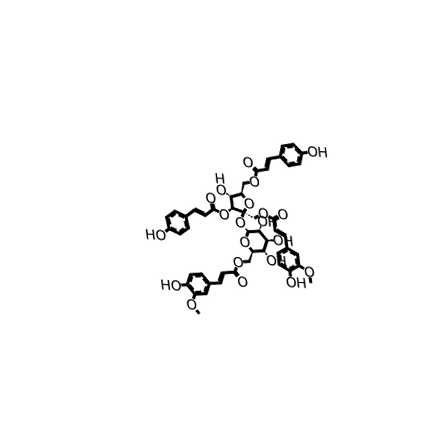 COc1cc(/C=C/C(=O)OC[C@H]2O[C@H](O[C@]3(COC(=O)/C=C/c4ccc(O)c(OC)c4)O[C@H](COC(=O)/C=C/c4ccc(O)cc4)[C@@H](O)[C@@H]3OC(=O)/C=C/c3ccc(O)cc3)[C@H](O)[C@@H](O)[C@@H]2O)ccc1O